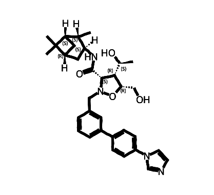 C[C@@H]1[C@@H](NC(=O)[C@@H]2[C@H]([C@H](C)O)[C@H](CO)ON2Cc2cccc(-c3ccc(-n4ccnc4)cc3)c2)C[C@H]2C[C@@H]1C2(C)C